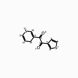 O=C(C(=O)c1ccsc1)C1=CSC=CC1